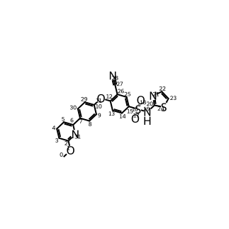 COc1cccc(-c2ccc(Oc3ccc(S(=O)(=O)Nc4nccs4)cc3C#N)cc2)n1